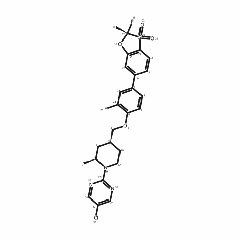 C[C@H]1C[C@@H](COc2ccc(-c3ccc4c(c3)O[C@](C)(F)S4(=O)=O)cc2F)CCN1c1ncc(Cl)cn1